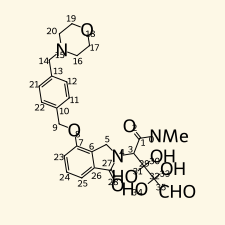 CNC(=O)C(N1Cc2c(OCc3ccc(CN4CCOCC4)cc3)cccc2C1=O)C(O)(O)C(O)(O)C=O